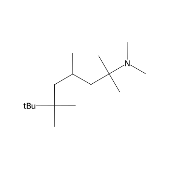 CC(CC(C)(C)N(C)C)CC(C)(C)C(C)(C)C